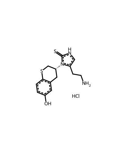 Cl.NCCc1c[nH]c(=S)n1[C@H]1CSc2ccc(O)cc2C1